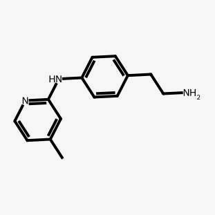 Cc1ccnc(Nc2ccc(CCN)cc2)c1